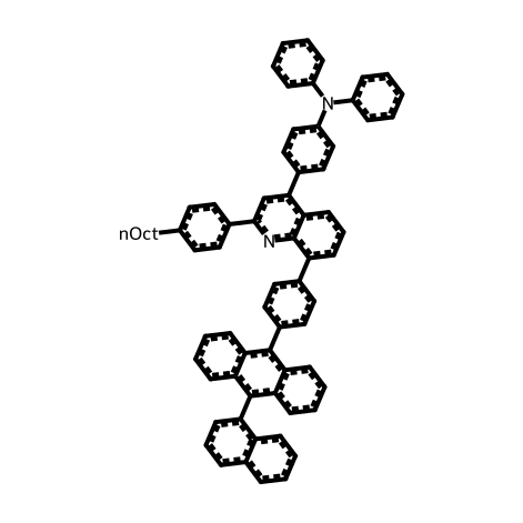 CCCCCCCCc1ccc(-c2cc(-c3ccc(N(c4ccccc4)c4ccccc4)cc3)c3cccc(-c4ccc(-c5c6ccccc6c(-c6cccc7ccccc67)c6ccccc56)cc4)c3n2)cc1